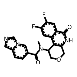 CN(C(=O)c1ccc2cncn2c1)C1COCc2[nH]c(=O)c3cc(F)c(F)cc3c21